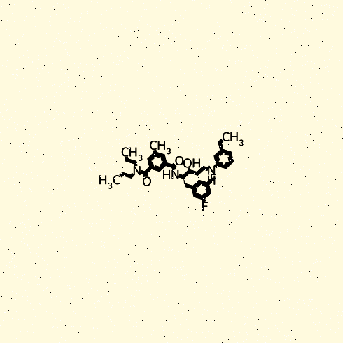 CCCN(CCC)C(=O)c1cc(C)cc(C(=O)N[C@@H](Cc2cc(F)cc(F)c2)[C@@H](O)CCNc2cccc(CC)c2)c1